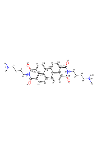 CN(C)CCCCN1C(=O)c2ccc3c4ccc5c6c(ccc(c7ccc(c2c37)C1=O)c64)C(=O)N(CCCCN(C)C)C5=O